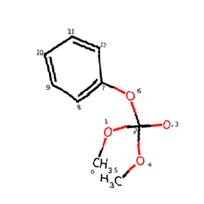 COC([O])(OC)Oc1ccccc1